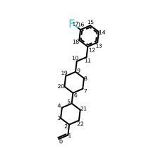 C=CC1CCC(C2CCC(CCc3cccc(F)c3)CC2)CC1